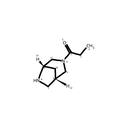 CCC(=O)N1C[C@@H]2CN[C@@H](C2)C1